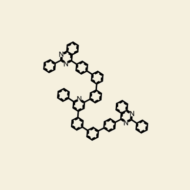 c1ccc(-c2cc(-c3cccc(-c4cccc(-c5ccc(-c6nc(-c7ccccc7)nc7ccccc67)cc5)c4)c3)cc(-c3cccc(-c4cccc(-c5ccc(-c6nc(-c7ccccc7)nc7ccccc67)cc5)c4)c3)n2)cc1